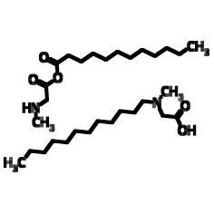 CCCCCCCCCCCC(=O)OC(=O)CNC.CCCCCCCCCCCCN(C)CC(=O)O